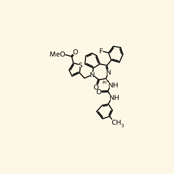 COC(=O)c1ccc(CN2C(=O)[C@H](NC(=O)Nc3cccc(C)c3)N=C(c3ccccc3F)c3ccccc32)s1